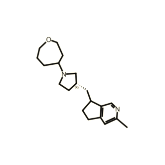 Cc1cc2c(cn1)C(C[C@@H]1CCN(C3CCCOCC3)C1)CC2